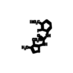 CCOC(=O)c1cccc(NC(=O)Nc2scc(C)c2C(=O)OCC)c1F